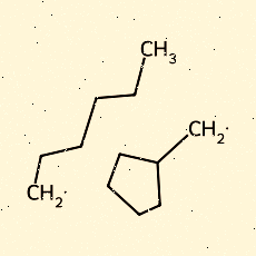 [CH2]C1CCCC1.[CH2]CCCCC